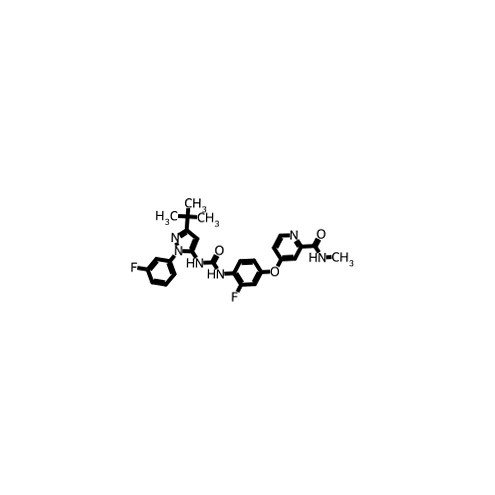 CNC(=O)c1cc(Oc2ccc(NC(=O)Nc3cc(C(C)(C)C)nn3-c3cccc(F)c3)c(F)c2)ccn1